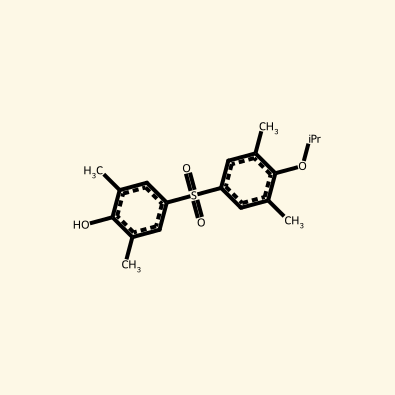 Cc1cc(S(=O)(=O)c2cc(C)c(OC(C)C)c(C)c2)cc(C)c1O